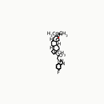 COCC[C@]12CC[C@@](C)(O)C[C@H]1CC[C@H]1[C@@H]3CC[C@H](C(=O)Cn4nnc5cc(F)ccc54)[C@@]3(C)CC[C@@H]12